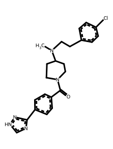 CN(CCc1ccc(Cl)cc1)C1CCN(C(=O)c2ccc(-c3nc[nH]n3)cc2)CC1